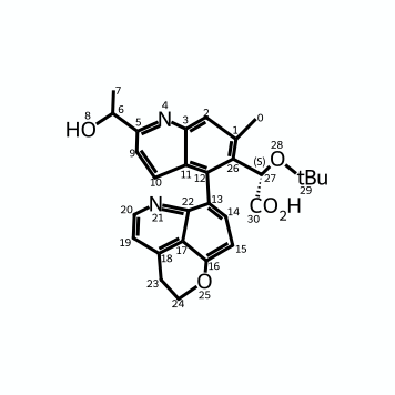 Cc1cc2nc(C(C)O)ccc2c(-c2ccc3c4c(ccnc24)CCO3)c1[C@H](OC(C)(C)C)C(=O)O